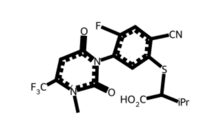 CC(C)C(Sc1cc(-n2c(=O)cc(C(F)(F)F)n(C)c2=O)c(F)cc1C#N)C(=O)O